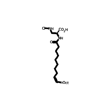 CCCCCCCC/C=C\CCCCCCCC(=O)N[C@@H](CNCl)C(=O)O